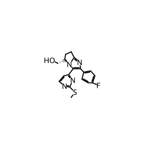 CSc1nccc(-c2c(-c3ccc(F)cc3)nc3n2[C@H](CO)CC3)n1